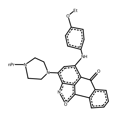 CCCN1CCN(c2cc(Nc3ccc(OCC)cc3)c3c4c(onc24)-c2ccccc2C3=O)CC1